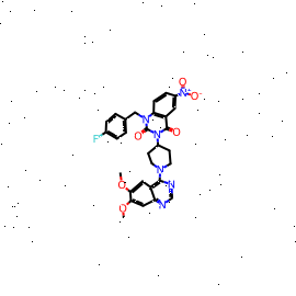 COc1cc2ncnc(N3CCC(n4c(=O)c5cc([N+](=O)[O-])ccc5n(Cc5ccc(F)cc5)c4=O)CC3)c2cc1OC